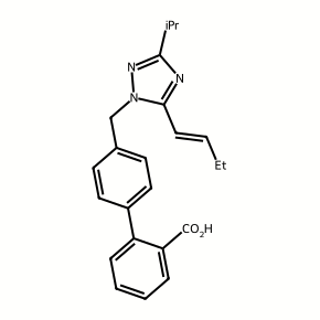 CCC=Cc1nc(C(C)C)nn1Cc1ccc(-c2ccccc2C(=O)O)cc1